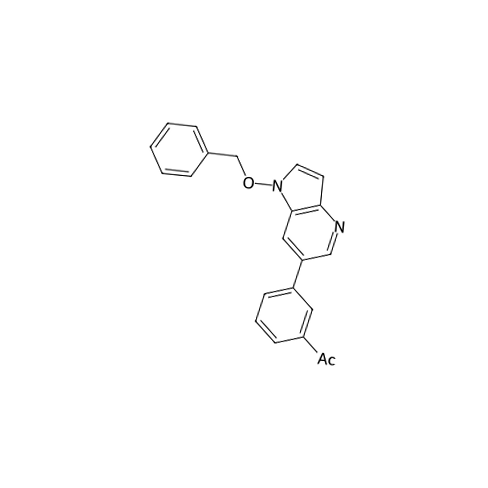 CC(=O)c1cccc(-c2cnc3ccn(OCc4ccccc4)c3c2)c1